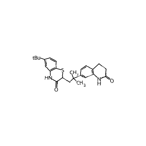 CC(C)(C)c1ccc2c(c1)NC(=O)C(CC(C)(C)c1ccc3c(c1)NC(=O)CC3)S2